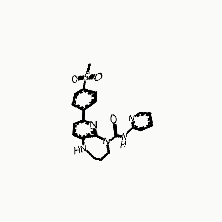 CS(=O)(=O)c1ccc(-c2ccc3c(n2)N(C(=O)Nc2ccccn2)CCCN3)cc1